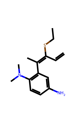 C=C/C(SCC)=C(/C)c1cc(N)ccc1N(C)C